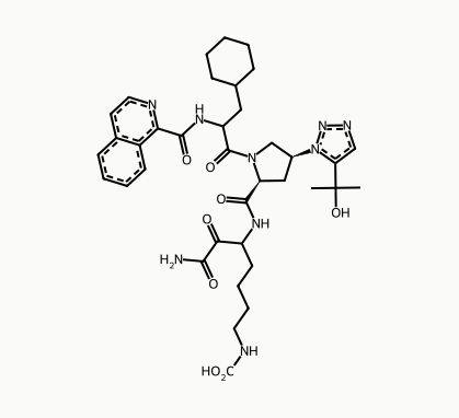 CC(C)(O)c1cnnn1[C@H]1C[C@@H](C(=O)NC(CCCCNC(=O)O)C(=O)C(N)=O)N(C(=O)C(CC2CCCCC2)NC(=O)c2nccc3ccccc23)C1